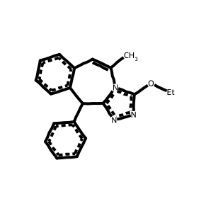 CCOc1nnc2n1C(C)=Cc1ccccc1C2c1ccccc1